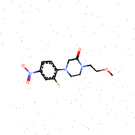 COCCN1CCN(c2ccc([N+](=O)[O-])cc2F)CC1=O